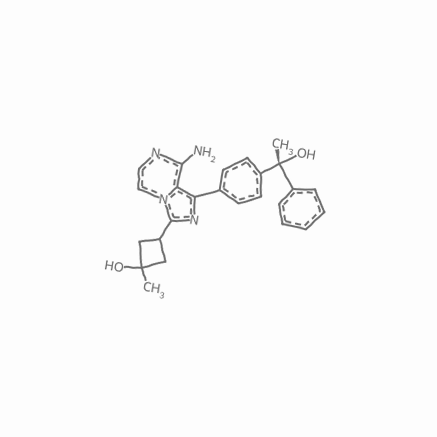 CC1(O)CC(c2nc(-c3ccc([C@](C)(O)c4ccccc4)cc3)c3c(N)nccn23)C1